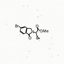 COC(=O)C(C1CC1)N1Cc2cc(Br)ccc2C1=O